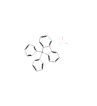 OB(O)O.c1ccc(C2(c3ccccc3)c3ccccc3-c3ccccc32)cc1